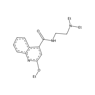 CCOc1cc(C(=O)NCCN(CC)CC)c2ccccc2n1